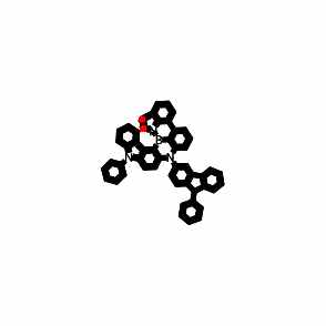 c1ccc(C2c3ccccc3-c3cc(N4c5cccc6c5B(c5c4ccc4c5c5ccccc5n4-c4ccccc4)n4c5ccccc5c5cccc-6c54)ccc32)cc1